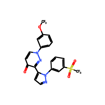 O=c1ccn(-c2cccc(OC(F)(F)F)c2)nc1-c1ccnn1-c1cccc(S(=O)(=O)C(F)(F)F)c1